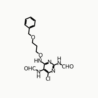 O=CNc1nc(Cl)c(NC=O)c(NOCCCOCc2ccccc2)n1